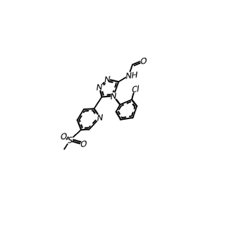 CS(=O)(=O)c1ccc(-c2nnc(NC=O)n2-c2ccccc2Cl)nc1